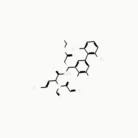 C=CC(=O)N(C=C)C(/C=C/C)C(=O)N[C@@H](CC(=O)OCC)c1cc(-c2c(C)cccc2O)cc(C)c1F